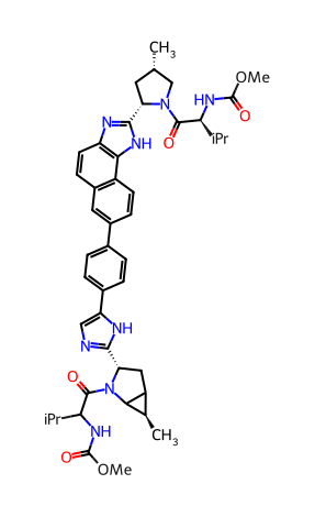 COC(=O)NC(C(=O)N1C2C(C[C@H]1c1ncc(-c3ccc(-c4ccc5c(ccc6nc([C@@H]7C[C@H](C)CN7C(=O)[C@@H](NC(=O)OC)C(C)C)[nH]c65)c4)cc3)[nH]1)[C@H]2C)C(C)C